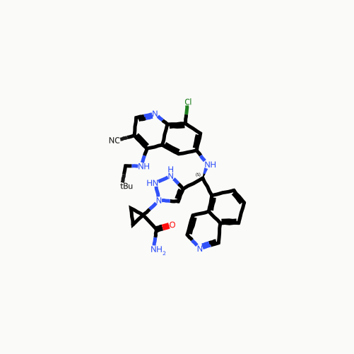 CC(C)(C)CNc1c(C#N)cnc2c(Cl)cc(N[C@H](C3=CN(C4(C(N)=O)CC4)NN3)c3cccc4cnccc34)cc12